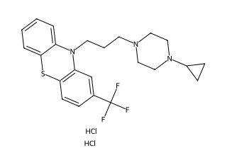 Cl.Cl.FC(F)(F)c1ccc2c(c1)N(CCCN1CCN(C3CC3)CC1)c1ccccc1S2